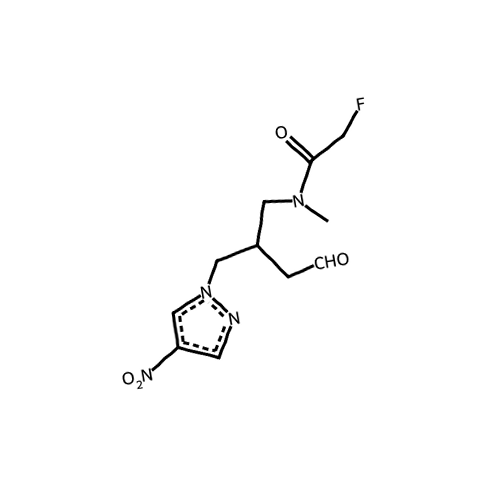 CN(CC(CC=O)Cn1cc([N+](=O)[O-])cn1)C(=O)CF